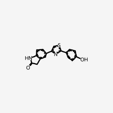 O=C1Cc2cc(-c3csc(-c4ccc(O)cc4)n3)ccc2N1